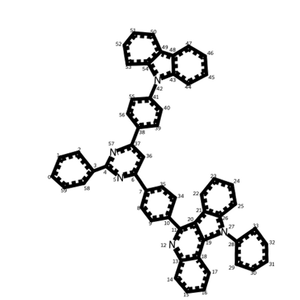 c1ccc(-c2nc(-c3ccc(-c4nc5ccccc5c5c4c4ccccc4n5-c4ccccc4)cc3)cc(-c3ccc(-n4c5ccccc5c5ccccc54)cc3)n2)cc1